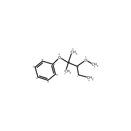 [CH2]CC(OC)C(C)(C)Oc1ccccc1